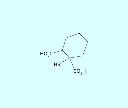 O=C(O)C1CCCCC1(S)C(=O)O